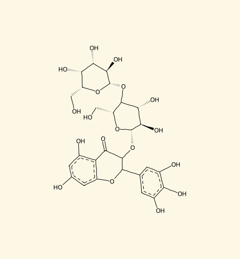 O=C1c2c(O)cc(O)cc2OC(c2cc(O)c(O)c(O)c2)C1O[C@@H]1O[C@H](CO)C(O[C@@H]2O[C@H](CO)[C@H](O)[C@H](O)[C@H]2O)[C@H](O)[C@H]1O